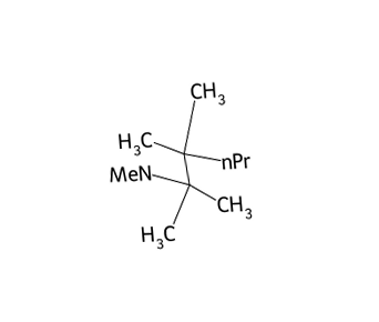 CCCC(C)(C)C(C)(C)NC